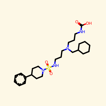 O=C(O)NCCCN(CCCNS(=O)(=O)N1CCC(c2ccccc2)CC1)CC1CCCCC1